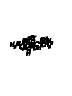 C=P(C)(C)CCC1OC(n2c(CCC)nc3c(N)ccnc32)[C@H](O)[C@@H]1O